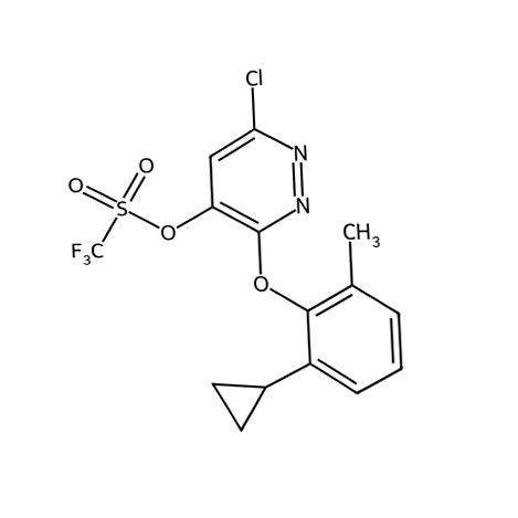 Cc1cccc(C2CC2)c1Oc1nnc(Cl)cc1OS(=O)(=O)C(F)(F)F